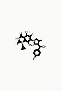 COc1c(N2CC(F)C(C(O)c3ccc(F)cc3)C2)c(F)c(O)c2c(=O)[nH]c(=O)n(C3CC3)c12